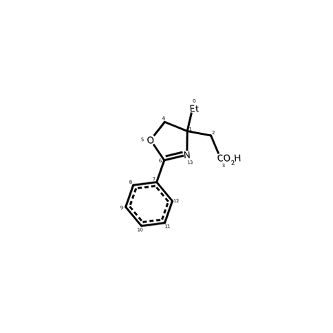 CCC1(CC(=O)O)COC(c2ccccc2)=N1